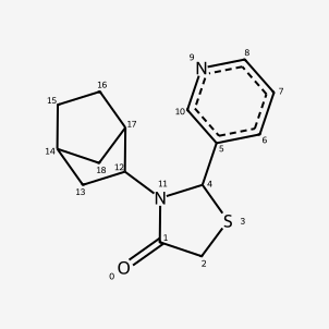 O=C1CSC(c2cccnc2)N1C1CC2CCC1C2